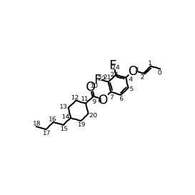 C/C=C/Oc1ccc(OC(=O)C2CCC(CCCC)CC2)c(F)c1F